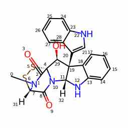 CN1C(=O)[C@]23SS[C@H]1C(=O)N2[C@H]1Nc2ccccc2[C@@]1(c1c[nH]c2ccccc12)[C@@H]3O